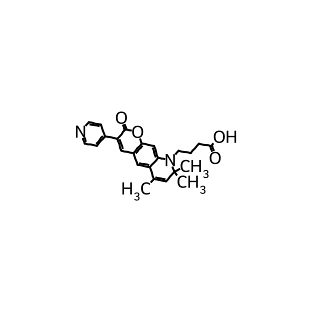 CC1=CC(C)(C)N(CCCC(=O)O)c2cc3oc(=O)c(-c4ccncc4)cc3cc21